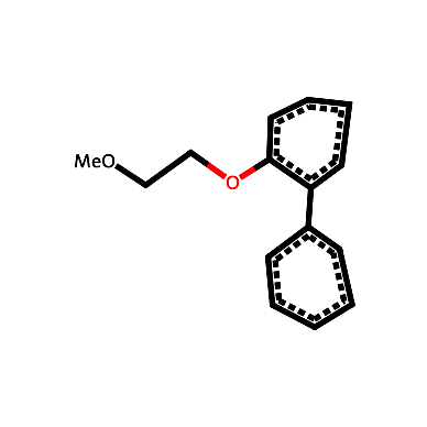 COCCOc1ccccc1-c1ccccc1